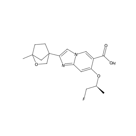 C[C@@H](CF)Oc1cc2nc(C34CCC(C)(C3)OC4)cn2cc1C(=O)O